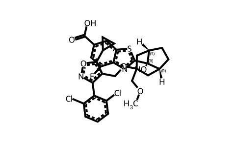 COCC1(OCc2c(-c3c(Cl)cccc3Cl)noc2C2CC2)C[C@H]2CC[C@@H](C1)[C@]2(O)c1nc2c(F)cc(C(=O)O)cc2s1